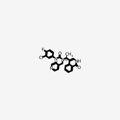 C[C@@H](c1c[nH]c(=O)c2ccccc12)N(Cc1ccncc1)C(=O)Nc1ccc(F)c(Cl)c1